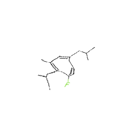 Cc1cc(CC(C)C)cc(F)c1C(C)C